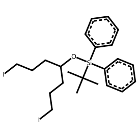 CC(C)(C)[Si](OC(CCCI)CCCI)(c1ccccc1)c1ccccc1